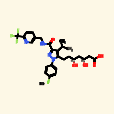 CC(C)c1c(C(=O)NCc2ccc(C(F)(F)F)nc2)nn(-c2ccc(F)cc2)c1CC[C@@H](O)C[C@@H](O)CC(=O)O.[Na]